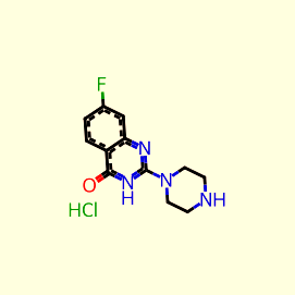 Cl.O=c1[nH]c(N2CCNCC2)nc2cc(F)ccc12